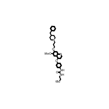 COc1cc2c(Oc3ccc(NC(=O)NCCC(C)(C)C)cc3)ccnc2cc1OCCCN1CCC(Cc2ccccc2)CC1